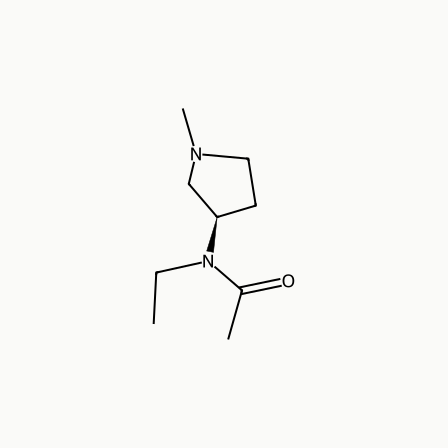 CCN(C(C)=O)[C@@H]1CCN(C)C1